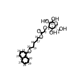 O=C(CO[C@H]1[C@H](O)[C@@H](CO)OC(O)[C@@H]1O)OCCCCCOc1cccc2ccccc12